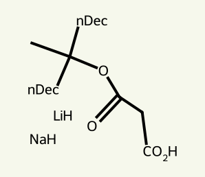 CCCCCCCCCCC(C)(CCCCCCCCCC)OC(=O)CC(=O)O.[LiH].[NaH]